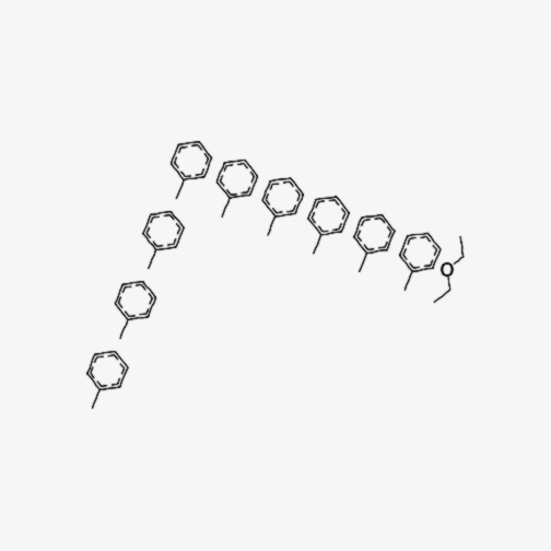 CCOCC.Cc1ccccc1.Cc1ccccc1.Cc1ccccc1.Cc1ccccc1.Cc1ccccc1.Cc1ccccc1.Cc1ccccc1.Cc1ccccc1.Cc1ccccc1